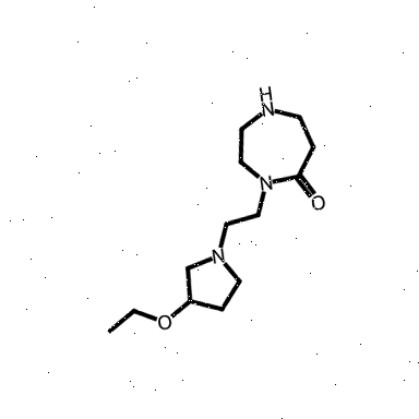 CCOC1CCN(CCN2CCNCCC2=O)C1